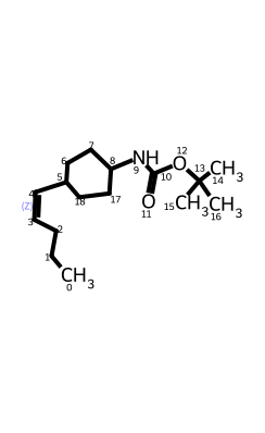 CCC/C=C\C1CCC(NC(=O)OC(C)(C)C)CC1